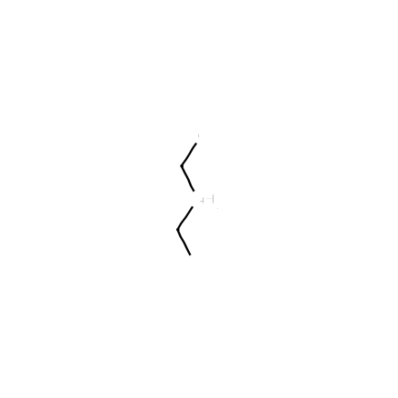 ClC[SiH2]CCl